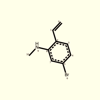 C=Cc1ccc(Br)cc1NC